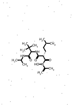 C=C(C)N(O)C(=O)[C@@H](CCC(C)C)C(=O)NC(C(=O)NC(C)C)C(C)(C)C